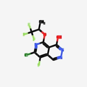 CC(Oc1nc(Cl)c(F)c2cnnc(O)c12)C(F)(F)F